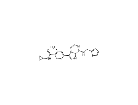 Cc1cc(-c2cnc3c(NCc4cccs4)nccn23)ccc1C(=O)NC1CC1